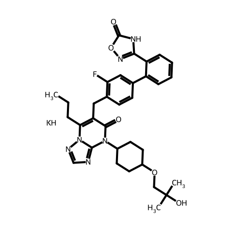 CCCc1c(Cc2ccc(-c3ccccc3-c3noc(=O)[nH]3)cc2F)c(=O)n(C2CCC(OCC(C)(C)O)CC2)c2ncnn12.[KH]